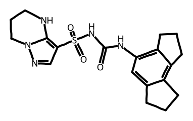 O=C(Nc1cc2c(c3c1CCC3)CCC2)NS(=O)(=O)c1cnn2c1NCCC2